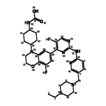 CCN1CCN(Cc2ccc(Nc3ncc(F)c(-c4cc(F)c5c(c4)N(C4CCC(NC(=O)O)CC4)CCO5)n3)nc2)CC1